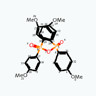 COc1ccc(P(=O)(OP(=O)(c2ccc(OC)cc2)c2ccc(OC)cc2)c2ccc(OC)cc2)cc1